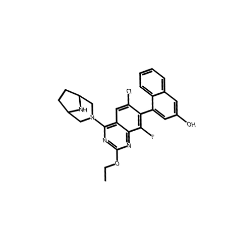 CCOc1nc(N2CC3CCC(C2)N3)c2cc(Cl)c(-c3cc(O)cc4ccccc34)c(F)c2n1